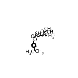 CC(C)C(=O)N(C)CCCN(C)C(=O)OCc1ccc(C(C)C)cc1